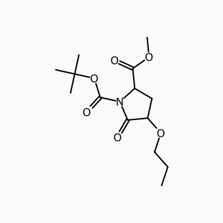 CCCOC1CC(C(=O)OC)N(C(=O)OC(C)(C)C)C1=O